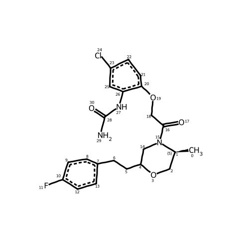 C[C@H]1COC(CCc2ccc(F)cc2)CN1C(=O)COc1ccc(Cl)cc1NC(N)=O